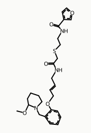 COC1CCCCN1Cc1ccccc1OCC=CCNC(=O)CSCCNC(=O)c1ccoc1